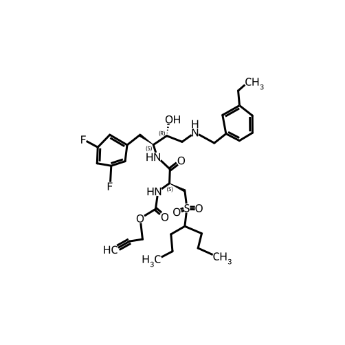 C#CCOC(=O)N[C@H](CS(=O)(=O)C(CCC)CCC)C(=O)N[C@@H](Cc1cc(F)cc(F)c1)[C@H](O)CNCc1cccc(CC)c1